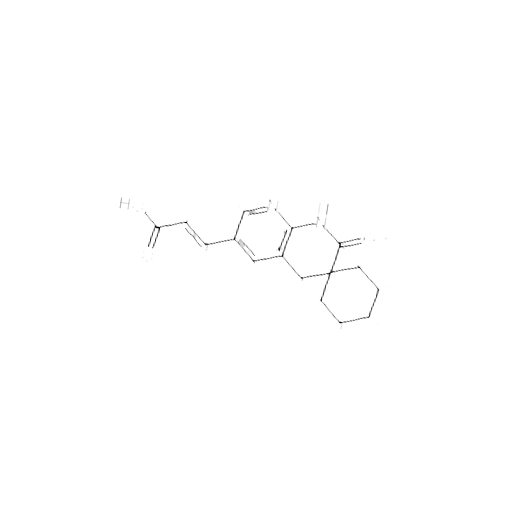 O=C(O)/C=C/c1cnc2c(c1)CC1(CCCCC1)C(=O)N2